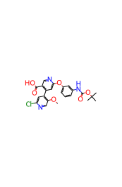 COc1cnc(Cl)cc1-c1cc(Oc2cccc(NC(=O)OC(C)(C)C)c2)ncc1C(=O)O